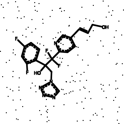 OCC=Cc1ccc(C(F)(F)C(O)(Cn2cnnn2)c2ccc(F)cc2F)nc1